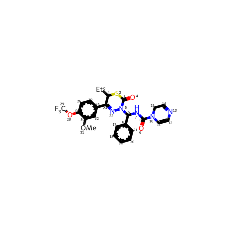 CCC1SC(=O)N(C(NC(=O)N2C=CN=CC2)c2ccccc2)N=C1c1ccc(OC(F)(F)F)c(OC)c1